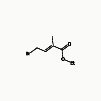 CCOC(=O)C(C)=CCBr